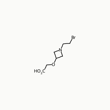 O=C(O)COC1CN(CCBr)C1